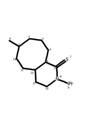 CC1CCCC2C(=S)N(C(C)C)CCC2CC1